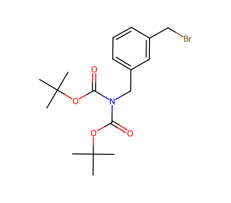 CC(C)(C)OC(=O)N(Cc1cccc(CBr)c1)C(=O)OC(C)(C)C